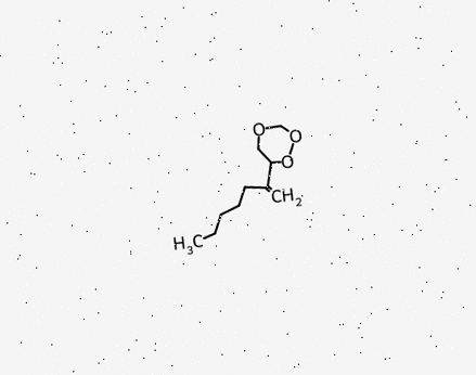 C=C(CCCCC)C1COCOO1